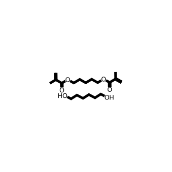 C=C(C)C(=O)OCCCCCOC(=O)C(=C)C.OCCCCCCO